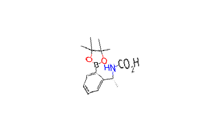 C[C@@H](NC(=O)O)c1ccccc1B1OC(C)(C)C(C)(C)O1